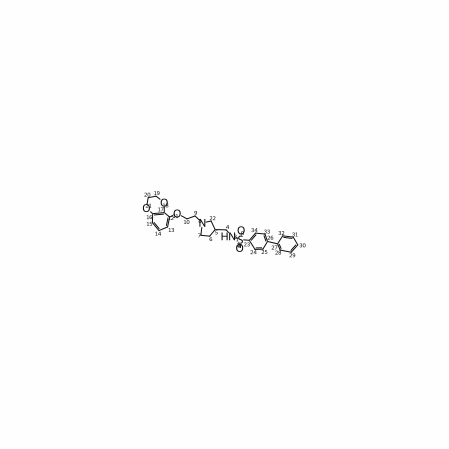 O=S(=O)(NCC1CCN(CCOc2cccc3c2OCCO3)C1)c1ccc(-c2ccccc2)cc1